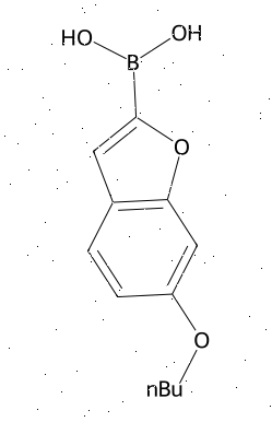 CCCCOc1ccc2cc(B(O)O)oc2c1